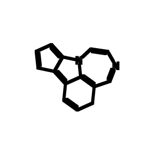 C1=Cc2c3cccc3n3ccncc(c23)C1